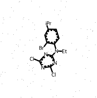 CCN(c1nc(Cl)nc(Cl)n1)c1ccc(C(C)C)cc1Br